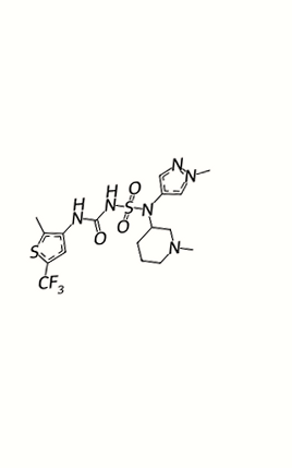 Cc1sc(C(F)(F)F)cc1NC(=O)NS(=O)(=O)N(c1cnn(C)c1)C1CCCN(C)C1